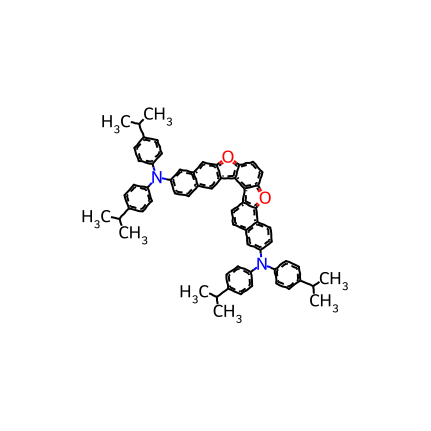 CC(C)c1ccc(N(c2ccc(C(C)C)cc2)c2ccc3cc4c(cc3c2)oc2ccc3oc5c6ccc(N(c7ccc(C(C)C)cc7)c7ccc(C(C)C)cc7)cc6ccc5c3c24)cc1